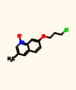 Cc1cc2ccc(OCCCCl)cc2[n+]([O-])c1